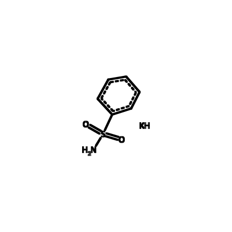 NS(=O)(=O)c1ccccc1.[KH]